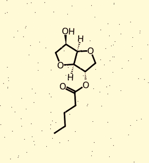 CCCCC(=O)O[C@H]1CO[C@H]2[C@@H]1OC[C@H]2O